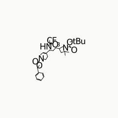 CC(C)(C)OC(=O)N1CC(CCC(NC(=O)C(F)(F)F)C2=CCN(C(=O)OCc3ccccc3)CC2)CC1(C)C